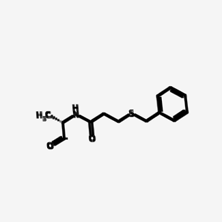 C[C@@H]([C]=O)NC(=O)CCSCc1ccccc1